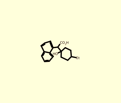 CCC1CCC(O)(C(C(=O)O)c2cccc3ccccc23)CC1